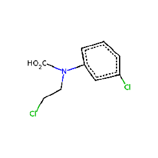 O=C(O)N(CCCl)c1cccc(Cl)c1